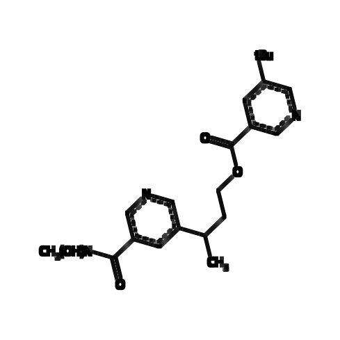 CC(CCOC(=O)c1cncc(C(C)(C)C)c1)c1cncc(C(=O)N(C)O)c1